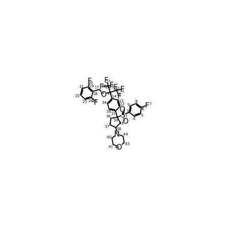 O=S(=O)(c1ccc(F)cc1)C1(c2ccc(C(OCc3c(F)cccc3F)(C(F)(F)F)C(F)(F)F)cc2)CCC(N2CCOCC2)C1